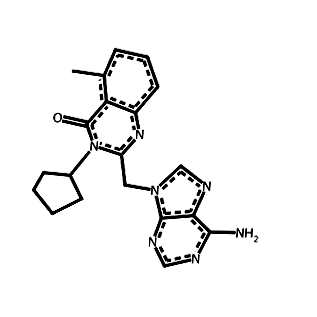 Cc1cccc2nc(Cn3cnc4c(N)ncnc43)n(C3CCCC3)c(=O)c12